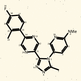 CNc1ccc(-n2c(C)nnc2-c2cnc(-c3ccc(F)cc3C)cn2)cn1